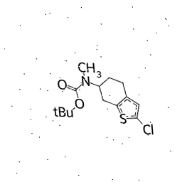 CN(C(=O)OC(C)(C)C)C1CCc2cc(Cl)sc2C1